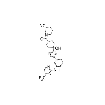 Cc1cc(Nc2nccc(C(F)(F)F)n2)cc(-c2cnc(C3(O)CCC(C(=O)N4CCCC(C#N)C4)CC3)s2)c1